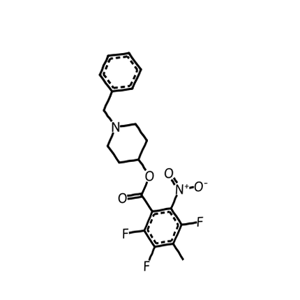 Cc1c(F)c(F)c(C(=O)OC2CCN(Cc3ccccc3)CC2)c([N+](=O)[O-])c1F